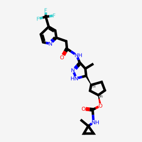 CC1C(NC(=O)Cc2cc(C(F)(F)F)ccn2)=NNC1[C@H]1CC[C@@H](OC(=O)NC2(C)CC2)C1